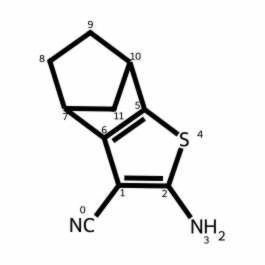 N#Cc1c(N)sc2c1C1CCC2C1